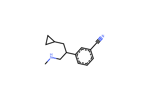 CNCC(CC1CC1)c1cccc(C#N)c1